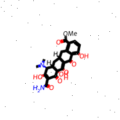 COC(=O)c1ccc(O)c2c1C[C@H]1C[C@H]3[C@H](N(C)C)C(O)=C(C(N)=O)C(=O)[C@@]3(O)C(O)=C1C2=O